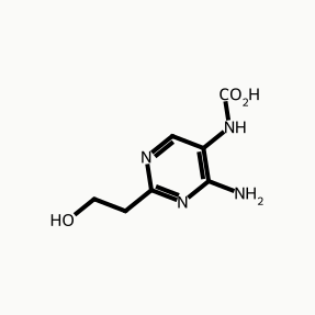 Nc1nc(CCO)ncc1NC(=O)O